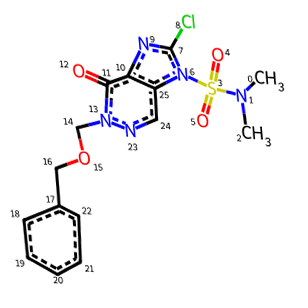 CN(C)S(=O)(=O)n1c(Cl)nc2c(=O)n(COCc3ccccc3)ncc21